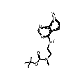 CN(CCNc1ncnc2[nH]ccc12)C(=O)OC(C)(C)C